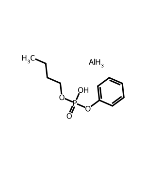 CCCCOP(=O)(O)Oc1ccccc1.[AlH3]